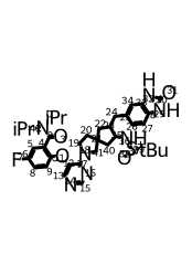 CC(C)N(C(=O)c1cc(F)ccc1Oc1cncnc1N1CCC2(CC(Cc3ccc4[nH]c(=O)[nH]c4c3)C(N[S+]([O-])C(C)(C)C)C2)C1)C(C)C